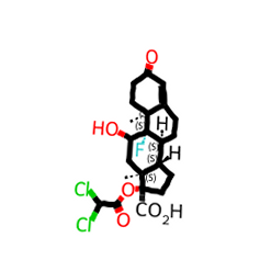 C[C@]12CC(O)[C@]3(F)[C@@H](CCC4=CC(=O)CC[C@@]43C)[C@@H]1CCC2(OC(=O)C(Cl)Cl)C(=O)O